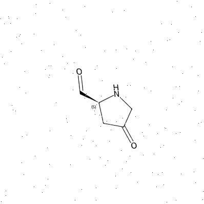 O=C[C@@H]1CC(=O)CN1